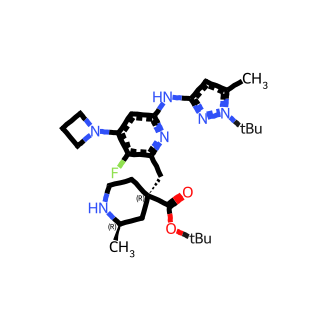 Cc1cc(Nc2cc(N3CCC3)c(F)c(C[C@@]3(C(=O)OC(C)(C)C)CCN[C@H](C)C3)n2)nn1C(C)(C)C